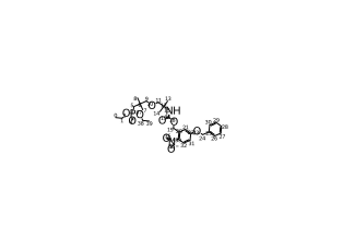 CCOP(=O)(CC(C)(C)COCC(C)(C)NC(=O)OCc1cc(OCc2ccccc2)ccc1[N+](=O)[O-])OCC